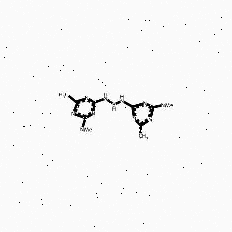 CNc1nc(C)nc(NBNc2nc(C)nc(NC)n2)n1